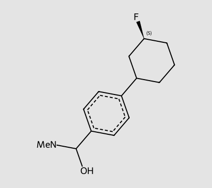 CNC(O)c1ccc(C2CCC[C@H](F)C2)cc1